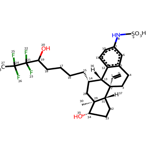 C=C[C@@]12CCc3cc(NS(=O)(=O)O)ccc3[C@H]1[C@@H](CCCCC(O)C(F)(F)C(F)(F)C(F)(F)F)C[C@@]1(C)[C@H]2CC[C@@H]1O